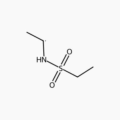 C[CH]NS(=O)(=O)CC